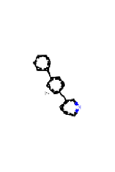 [Ir].c1ccc(-c2ccc(-c3cccnc3)cc2)cc1